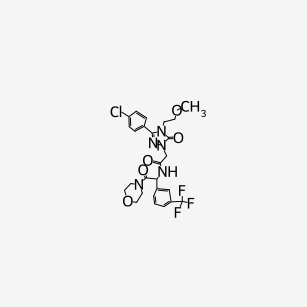 COCCn1c(-c2ccc(Cl)cc2)nn(CC(=O)NC(C(=O)N2CCOCC2)c2cccc(C(F)(F)F)c2)c1=O